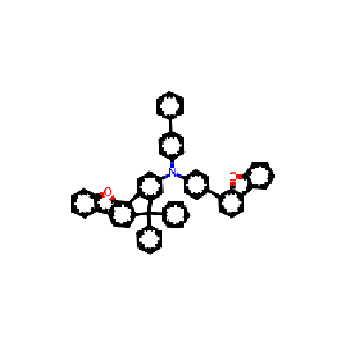 c1ccc(-c2ccc(N(c3ccc(-c4cccc5c4oc4ccccc45)cc3)c3ccc4c(c3)C(c3ccccc3)(c3ccccc3)c3ccc5c(oc6ccccc65)c3-4)cc2)cc1